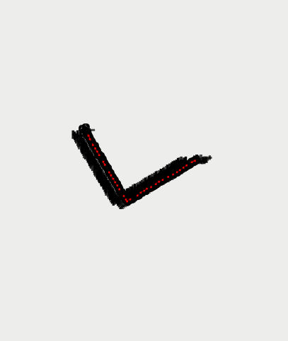 O.O.O.O.O.O.O.O.O.O.O.O.O.O.O.O.O.O.O.O.O.O.O.O.O.O.O.O.O.O.O.O.O.O.O.O.O.O.O.O.O.O.O.O.O.O.O.O.O.O.O.O.O.O.O.O.O.O.O.O.O.O.O.O.O.O.O.O.O.O.O.O.O.O.O.O.O.O.O.O.O=S(=O)([O-])[O-].[Na+].[Na+]